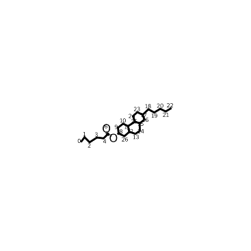 CCCCCC(=O)OC1CCC2C(CCC3CC(CCCCC)CCC32)C1